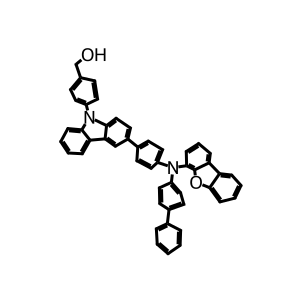 OCc1ccc(-n2c3ccccc3c3cc(-c4ccc(N(c5ccc(-c6ccccc6)cc5)c5cccc6c5oc5ccccc56)cc4)ccc32)cc1